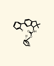 CC1(C)Cc2ccc(-c3ccccc3F)cc2C1NC(=O)O[C@H]1CN2CCC1CC2